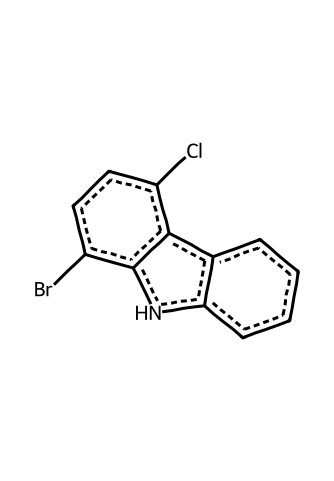 Clc1ccc(Br)c2[nH]c3ccccc3c12